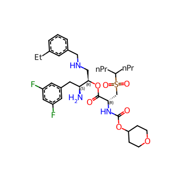 CCCC(CCC)S(=O)(=O)C[C@H](NC(=O)OC1CCOCC1)C(=O)O[C@H](CNCc1cccc(CC)c1)[C@@H](N)Cc1cc(F)cc(F)c1